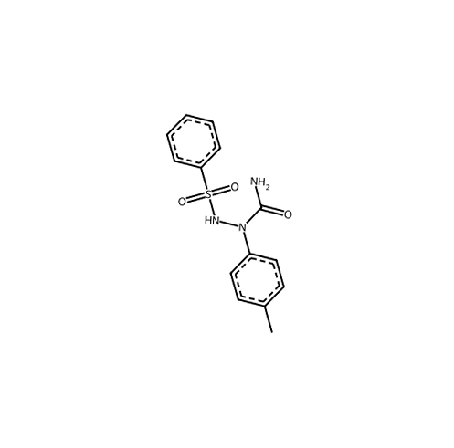 Cc1ccc(N(NS(=O)(=O)c2ccccc2)C(N)=O)cc1